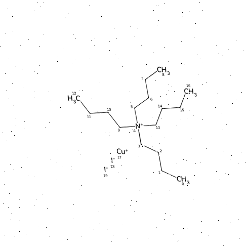 CCCC[N+](CCCC)(CCCC)CCCC.[Cu+].[I-].[I-]